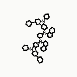 C1=CC2C(C=C1c1ccccc1)c1cc(N(c3cccc(N(c4ccc5c(c4)c4cc(-c6ccccc6)ccc4n5-c4ccccc4)c4cccc5ccccc45)c3)c3cccc4ccccc34)ccc1N2c1ccccc1